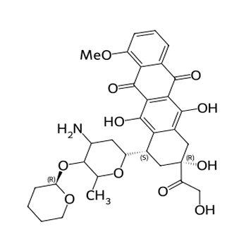 COc1cccc2c1C(=O)c1c(O)c3c(c(O)c1C2=O)C[C@@](O)(C(=O)CO)C[C@@H]3C1CC(N)C(O[C@@H]2CCCCO2)C(C)O1